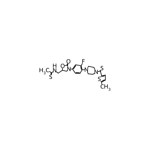 CC(=S)NCC1CN(c2ccc(N3CCN(C(=S)c4ccc(C)s4)CC3)c(F)c2)C(=O)O1